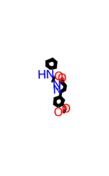 O=C(Cn1nc(-c2ccc3c(c2)OCO3)ccc1=O)Nc1ccccc1